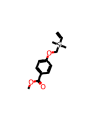 C=C[Si](C)(C)COc1ccc(C(=O)OC)cc1